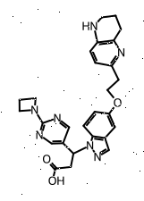 O=C(O)CC(c1cnc(N2CCC2)nc1)n1ncc2cc(OCCc3ccc4c(n3)CCCN4)ccc21